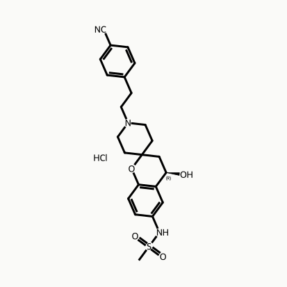 CS(=O)(=O)Nc1ccc2c(c1)[C@H](O)CC1(CCN(CCc3ccc(C#N)cc3)CC1)O2.Cl